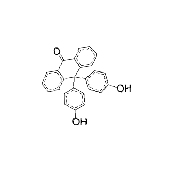 O=C1c2ccccc2C(c2ccc(O)cc2)(c2ccc(O)cc2)c2ccccc21